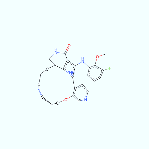 COc1c(F)cccc1Nc1c2[nH]c3c1C(=O)NCC3CCCN1CC(COc3cnccc3-2)C1